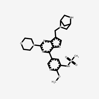 COc1ncc(-c2nc(N3CCOCC3)nc3c(CN4CC5CC4CN5)csc23)cc1NS(C)(=O)=O